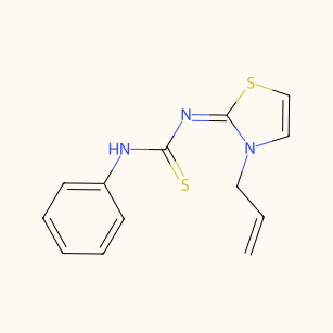 C=CCn1ccsc1=NC(=S)Nc1ccccc1